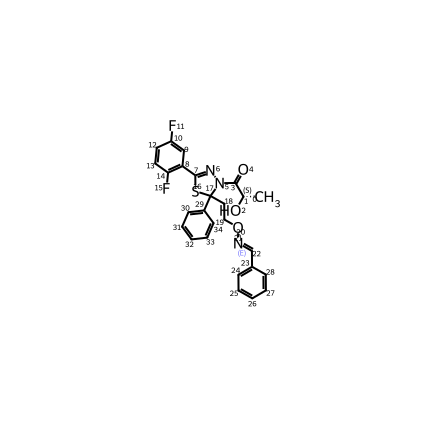 C[C@H](O)C(=O)N1N=C(c2cc(F)ccc2F)SC1(CCO/N=C/c1ccccc1)c1ccccc1